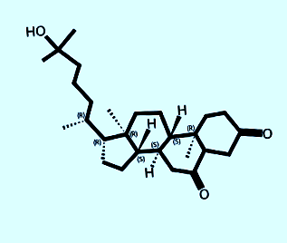 C[C@H](CCCC(C)(C)O)[C@H]1CC[C@H]2[C@@H]3CC(=O)C4CC(=O)CC[C@]4(C)[C@H]3CC[C@]12C